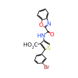 O=C(Nc1csc(-c2cccc(Br)c2)c1C(=O)O)c1nc2ccccc2o1